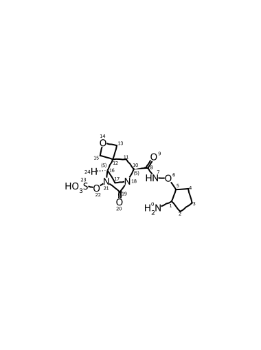 NC1CCCC1ONC(=O)[C@@H]1CC2(COC2)[C@H]2CN1C(=O)N2OS(=O)(=O)O